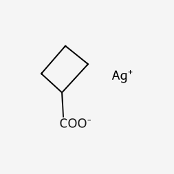 O=C([O-])C1CCC1.[Ag+]